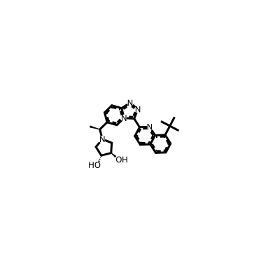 C[C@@H](c1ccc2nnc(-c3ccc4cccc(C(C)(C)C)c4n3)n2c1)N1C[C@@H](O)[C@H](O)C1